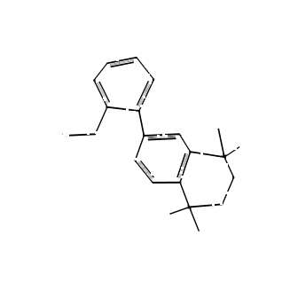 CC1(C)CCC(C)(C)c2cc(-c3ccccc3CN)ccc21